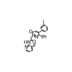 CC(C)c1nn(CC(=O)Nc2ncccc2F)c(=O)cc1-c1cccc(I)c1